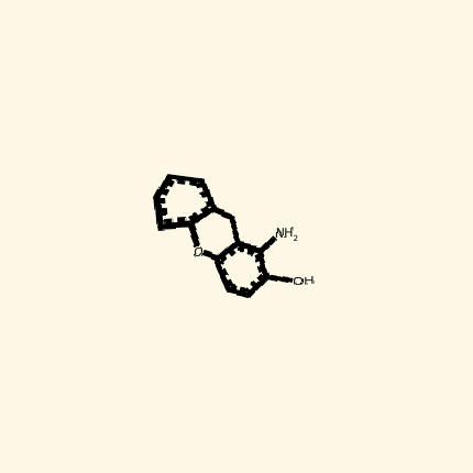 Nc1c(O)ccc2c1Cc1ccccc1O2